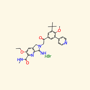 Br.CCOc1cc2c(nc1C(=O)NC)C(=N)N(CC(=O)c1cc(-c3ccncc3)c(OC)c(C(C)(C)C)c1)C2